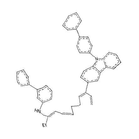 C=C/C(=C\CC/C=C\C=C(/CC)Nc1cccc(-c2ccccc2)c1)c1ccc2c(c1)c1ccccc1n2-c1ccc(-c2ccccc2)cc1